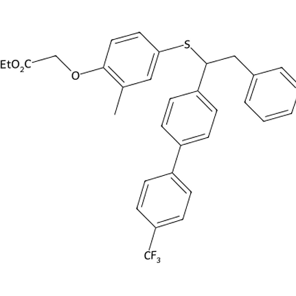 CCOC(=O)COc1ccc(SC(Cc2ccccc2)c2ccc(-c3ccc(C(F)(F)F)cc3)cc2)cc1C